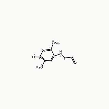 C=CCNc1cc(OC)c(Cl)cc1OC